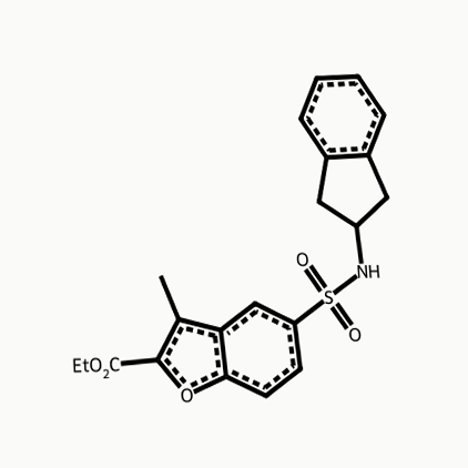 CCOC(=O)c1oc2ccc(S(=O)(=O)NC3Cc4ccccc4C3)cc2c1C